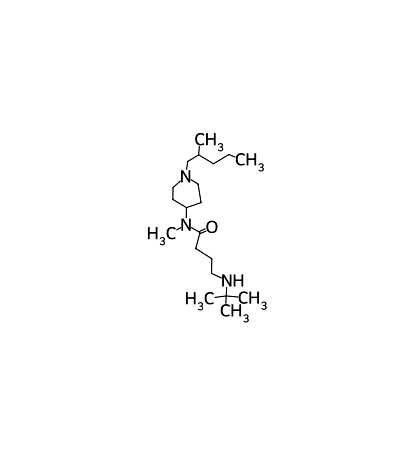 CCCC(C)CN1CCC(N(C)C(=O)CCCNC(C)(C)C)CC1